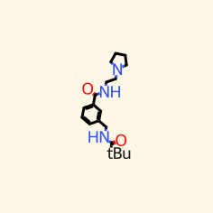 CC(C)(C)C(=O)NCc1cccc(C(=O)NCCN2CCCC2)c1